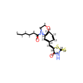 CCCCCC(=O)N1CCOc2ccc(/C=C3\SC(=S)NC3=O)cc21